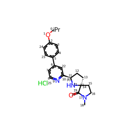 CC(C)Oc1ccc(-c2ccnc([C@H]3CC[C@@]4(CCN(C)C4=O)N3)c2)cc1.Cl